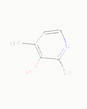 Cc1c[c]nc(C)c1O